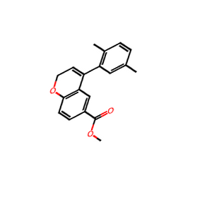 COC(=O)c1ccc2c(c1)C(c1cc(C)ccc1C)=CCO2